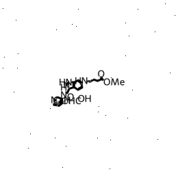 COC(=O)CCCNc1ccc2c(C(=O)N[C@@H]3CN4CCC3CC4)n[nH]c2c1.O=CO